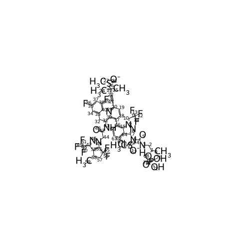 CC(CNC(=O)N(c1nn(CC(F)(F)F)c2c(-c3ccc(C#CC(C)(C)[S+](C)[O-])nc3C(Cc3cc(F)cc(F)c3)NC(=O)Cn3nc(C(F)(F)F)c4c3C(F)(F)C[C@@H]4C)ccc(Cl)c12)[S+](C)[O-])OP(=O)(O)O